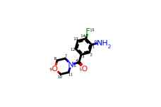 Nc1cc(C(=O)N2CCOCC2)ccc1F